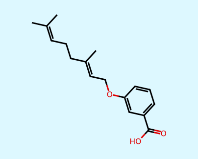 CC(C)=CCC/C(C)=C/COc1cccc(C(=O)O)c1